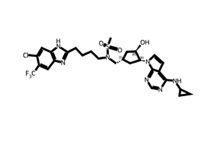 CS(=O)(=O)N(CCCCc1nc2cc(C(F)(F)F)c(Cl)cc2[nH]1)C[C@@H]1C[C@@H](O)[C@H](n2ccc3c(NC4CC4)ncnc32)C1